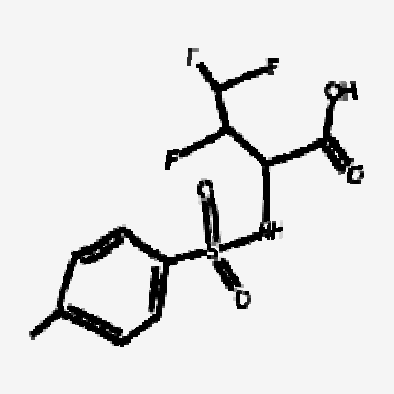 Cc1ccc(S(=O)(=O)NC(C(=O)O)C(F)C(F)F)cc1